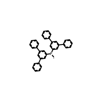 IP(c1cc(-c2ccccc2)cc(-c2ccccc2)c1)c1cc(-c2ccccc2)cc(-c2ccccc2)c1